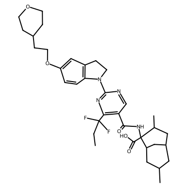 CCC(F)(F)c1nc(N2CCc3cc(OCCC4CCOCC4)ccc32)ncc1C(=O)NC1(C(=O)O)C(C)CC2CC(C)CC1C2